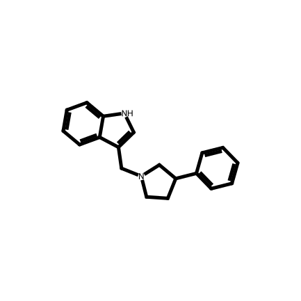 c1ccc(C2CCN(Cc3c[nH]c4ccccc34)C2)cc1